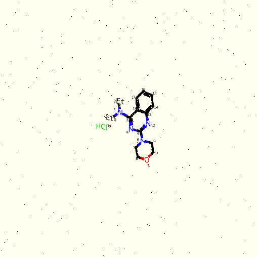 CCN(CC)c1nc(N2CCOCC2)nc2ccccc12.Cl